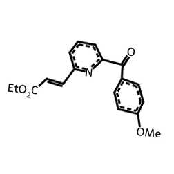 CCOC(=O)/C=C/c1cccc(C(=O)c2ccc(OC)cc2)n1